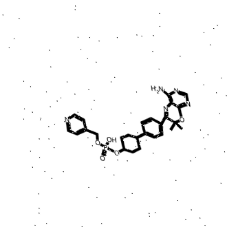 CC1(C)Oc2ncnc(N)c2N=C1c1ccc(C2CCC(OP(=O)(O)OCc3ccncc3)CC2)cc1